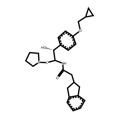 O=C(CC1Cc2ccccc2C1)NC(CN1CCCC1)[C@H](O)c1ccc(OCC2CC2)cc1